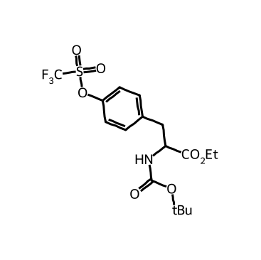 CCOC(=O)C(Cc1ccc(OS(=O)(=O)C(F)(F)F)cc1)NC(=O)OC(C)(C)C